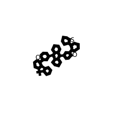 CC1(C)c2ccccc2-c2c1ccc1oc3ccc(-c4c5ccccc5c(-c5ccc6oc7ccc8sc9ccccc9c8c7c6c5)c5ccccc45)cc3c21